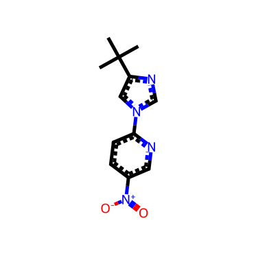 CC(C)(C)c1cn(-c2ccc([N+](=O)[O-])cn2)cn1